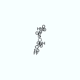 O=C1NC2(CO1)CN(C(=O)N1CC3(CCC(NS(=O)(=O)c4cccc(OC(F)(F)F)c4)CC3)C1)C2